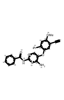 C#Cc1cc(Oc2cnc(NC(=O)c3ccccc3)nc2N)c(C(C)C)cc1OC